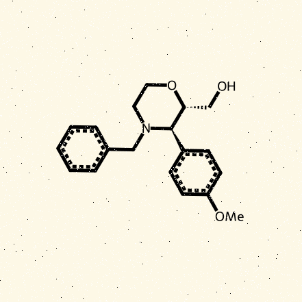 COc1ccc([C@@H]2[C@@H](CO)OCCN2Cc2ccccc2)cc1